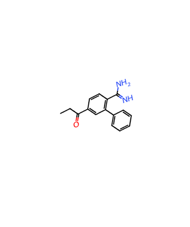 CCC(=O)c1ccc(C(=N)N)c(-c2ccccc2)c1